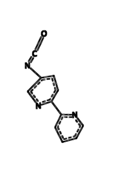 O=C=Nc1ccc(-c2ccccn2)nc1